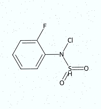 O=[SH](=O)N(Cl)c1ccccc1F